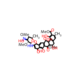 COC(=O)c1c(C)cc2c(c1O)[C@]1(O)C(=O)c3cc4c(c(O)c3C(=O)[C@]1(OC)[C@H](O)C2)C(=O)C=C(N[C@H]1O[C@@H](C)[C@H](OC)C(=NO)[C@H]1OC)C4=O